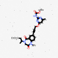 CCOC(=O)CC(C)N1CC(=O)N(C(C)C)c2ccc(C#CCOc3cc(C)nc(NC(=O)OC(C)(C)C)n3)cc2C1=O